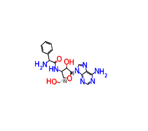 Nc1ncnc2c1ncn2[C@@H]1O[C@H](CO)C(NC(=O)C(N)c2ccccc2)C1O